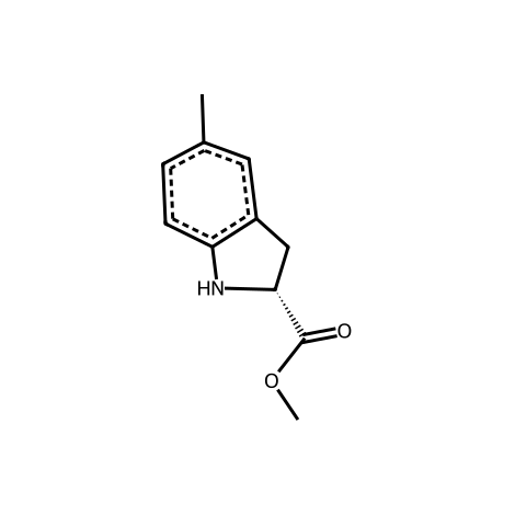 COC(=O)[C@H]1Cc2cc(C)ccc2N1